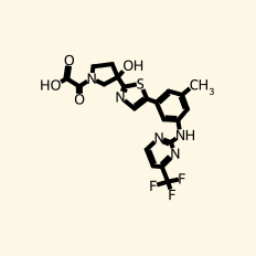 Cc1cc(Nc2nccc(C(F)(F)F)n2)cc(-c2cnc(C3(O)CCN(C(=O)C(=O)O)C3)s2)c1